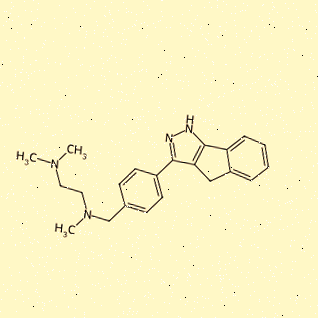 CN(C)CCN(C)Cc1ccc(-c2n[nH]c3c2Cc2ccccc2-3)cc1